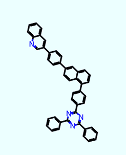 c1ccc(-c2nc(-c3ccccc3)nc(-c3ccc(-c4cccc5cc(-c6ccc(-c7cnc8ccccc8c7)cc6)ccc45)cc3)n2)cc1